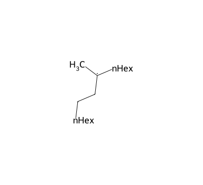 CCCCCCCC[C](C)CCCCCC